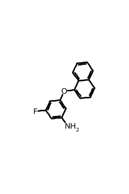 Nc1cc(F)cc(Oc2cccc3ccccc23)c1